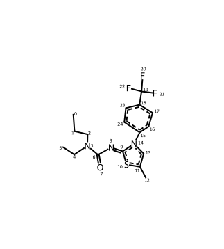 CCCN(CC)C(=O)/N=c1\sc(C)cn1-c1ccc(C(F)(F)F)cc1